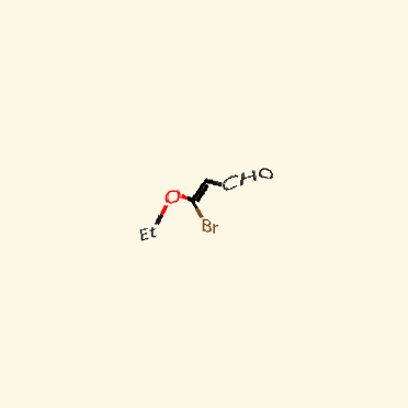 CCOC(Br)=CC=O